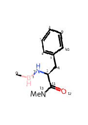 CBN[C@@H](Cc1ccccc1)C(=O)NC